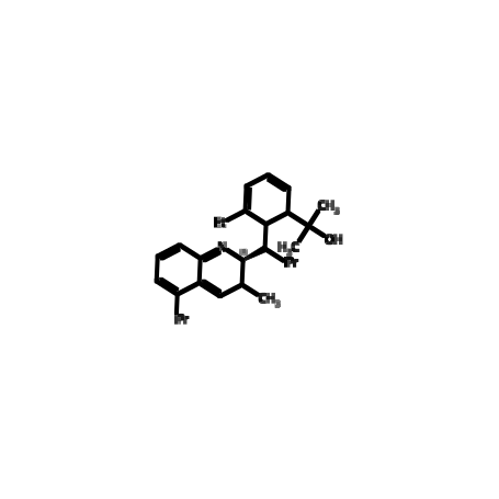 CCC1=CC=CC(C(C)(C)O)C1C(C(C)C)[C@@H]1N=c2cccc(C(C)C)c2=CC1C